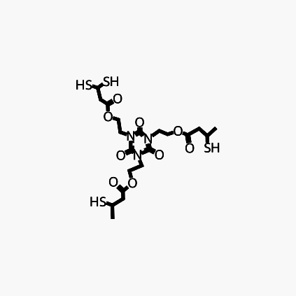 CC(S)CC(=O)OCCn1c(=O)n(CCOC(=O)CC(C)S)c(=O)n(CCOC(=O)CC(S)S)c1=O